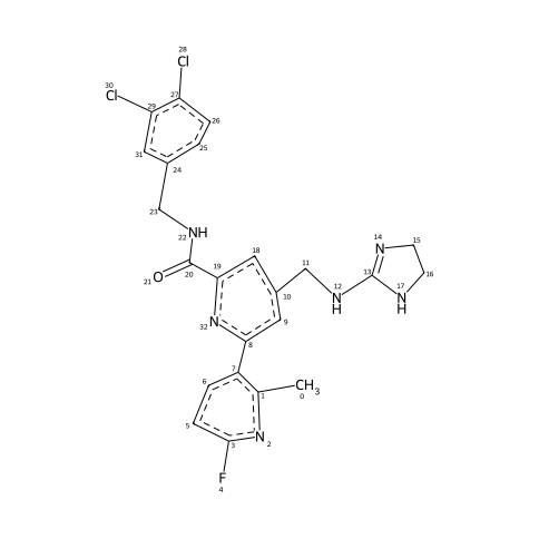 Cc1nc(F)ccc1-c1cc(CNC2=NCCN2)cc(C(=O)NCc2ccc(Cl)c(Cl)c2)n1